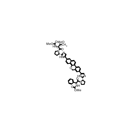 COC(=O)N[C@H](C(=O)N1CCC[C@H]1c1ncc(-c2ccc3c4c(ccc3c2)-c2ccc(-c3cnc([C@@H]5CCCN5C(=O)[C@H](NC(=O)OC)c5ccccc5)[nH]3)cc2CO4)[nH]1)[C@@H](C)OC